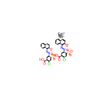 O=C(O)c1cc(N=Nc2c([O-])ccc3ccccc23)c(S(=O)(=O)[O-])cc1Cl.O=C(O)c1cc(N=Nc2c([O-])ccc3ccccc23)c(S(=O)(=O)[O-])cc1Cl.[Ca+2].[Na+].[Na+]